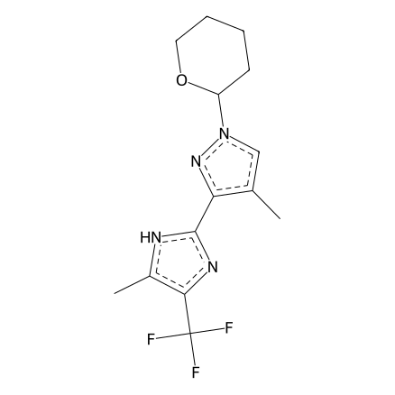 Cc1cn(C2CCCCO2)nc1-c1nc(C(F)(F)F)c(C)[nH]1